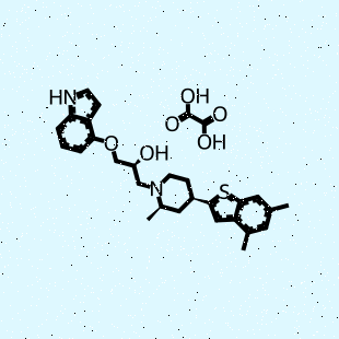 Cc1cc(C)c2cc([C@@H]3CCN(C[C@H](O)COc4cccc5[nH]ccc45)[C@H](C)C3)sc2c1.O=C(O)C(=O)O